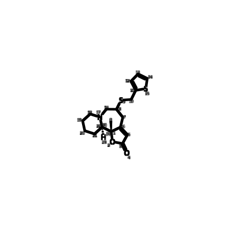 C[C@]12OC(=O)C=C1CC(SCc1cccs1)CN1CCCC[C@@H]12